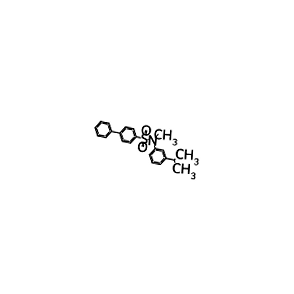 CC(C)c1cccc(N(C)S(=O)(=O)c2ccc(-c3ccccc3)cc2)c1